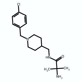 CC(C)(N)C(=O)NCC1CCN(Cc2ccc(Cl)cc2)CC1